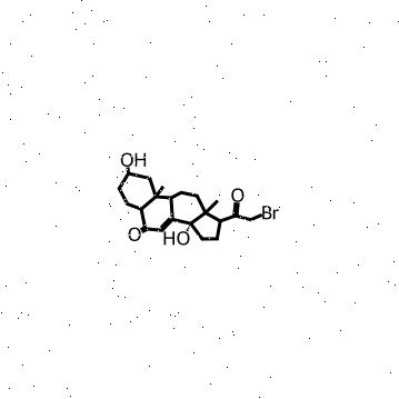 CC12CC(O)CCC1C(=O)C=C1C2CCC2(C)C(C(=O)CBr)CC[C@@]12O